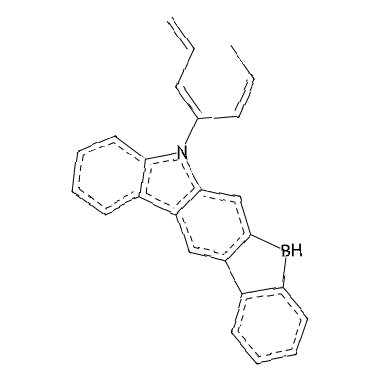 C=C/C=C(\C=C/C)n1c2ccccc2c2cc3c(cc21)Bc1ccccc1-3